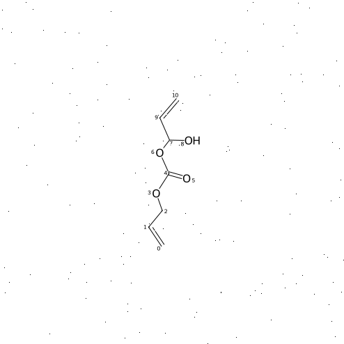 C=CCOC(=O)OC(O)C=C